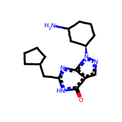 NC1CCC[C@@H](n2ncc3c(=O)[nH]c(CC4CCCC4)nc32)C1